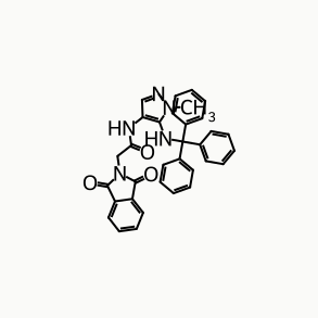 Cn1ncc(NC(=O)CN2C(=O)c3ccccc3C2=O)c1NC(c1ccccc1)(c1ccccc1)c1ccccc1